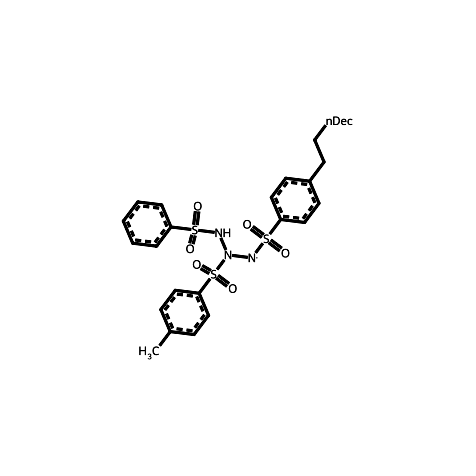 CCCCCCCCCCCCc1ccc(S(=O)(=O)[N]N(NS(=O)(=O)c2ccccc2)S(=O)(=O)c2ccc(C)cc2)cc1